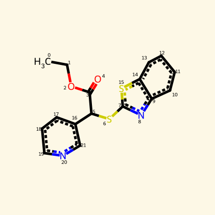 CCOC(=O)C(Sc1nc2ccccc2s1)c1cccnc1